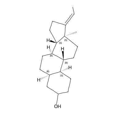 CC=C1CC[C@H]2[C@@H]3CC[C@@H]4CC(O)CC[C@@H]4[C@H]3CC[C@]12C